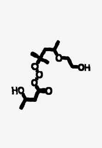 CC(O)CC(=O)OOOC(C)(C)CC(C)OCCO